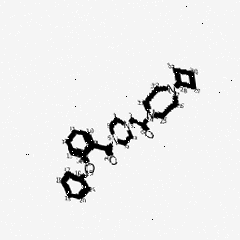 O=C(CN1CCN(C(=O)c2ccccc2Oc2ccccc2)CC1)N1CCN(C2CCC2)CC1